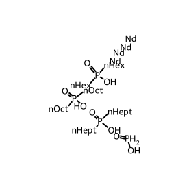 CCCCCCCCP(=O)(O)CCCCCCCC.CCCCCCCP(=O)(O)CCCCCCC.CCCCCCP(=O)(O)CCCCCC.O=[PH2]O.[Nd].[Nd].[Nd].[Nd]